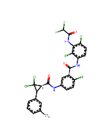 O=C(Nc1ccc(F)c(NC(=O)C(F)F)c1F)c1cc(NC(=O)[C@H]2C(c3cccc(C(F)(F)F)c3)C2(Cl)Cl)ccc1Cl